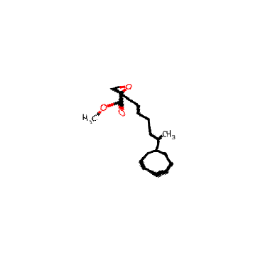 COC(=O)C1(CCCCC(C)C2CCCCCCC2)CO1